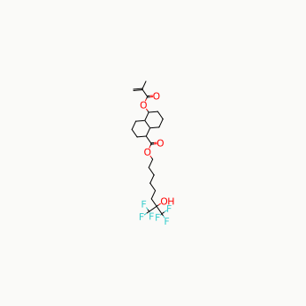 C=C(C)C(=O)OC1CCCC2C(C(=O)OCCCCCCC(O)(C(F)(F)F)C(F)(F)F)CCCC12